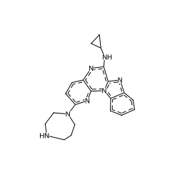 c1ccc2c(c1)nc1c(NC3CC3)nc3ccc(N4CCCNCC4)nc3n12